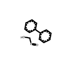 O=PCO.c1ccc(-c2ccccc2)cc1